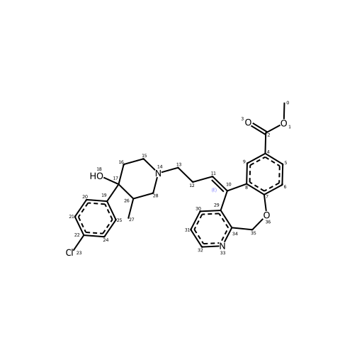 COC(=O)c1ccc2c(c1)/C(=C/CCN1CCC(O)(c3ccc(Cl)cc3)C(C)C1)c1cccnc1CO2